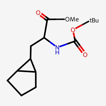 COC(=O)C(CC1C2CCCC21)NC(=O)OC(C)(C)C